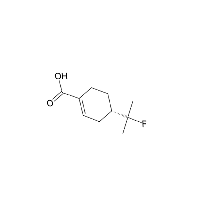 CC(C)(F)[C@@H]1CC=C(C(=O)O)CC1